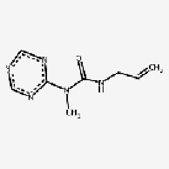 C=CCNC(=O)N(C)c1ncncn1